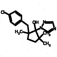 CC1(C)CCC(C)(Cc2ccc(Cl)cc2)C1(O)n1cncn1